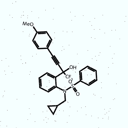 COc1ccc(C#CC(O)(c2ccccc2N(CC2CC2)S(=O)(=O)c2ccccc2)C(F)(F)F)cc1